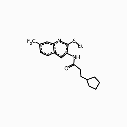 CCSc1nc2cc(C(F)(F)F)ccc2cc1NC(=O)CCC1CCCC1